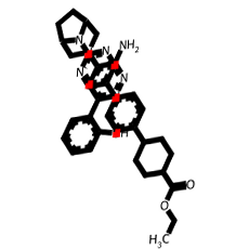 CCOC(=O)C1CCC(c2ccc(-c3cnc(N4C5CCC4CN(c4cc(-c6ccccc6O)nnc4N)C5)nc3)cc2)CC1